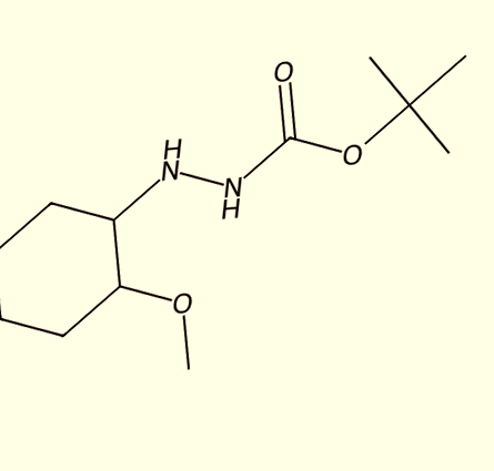 COC1CCCCC1NNC(=O)OC(C)(C)C